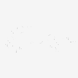 Cn1c(=O)n(C2CCC(=O)NC2=O)c2cccc(C#CCOC3CCN(C(=O)c4cnn(C5(C(=O)Nc6ccc(C(F)(F)F)cc6Cl)CCC5)c4)CC3)c21